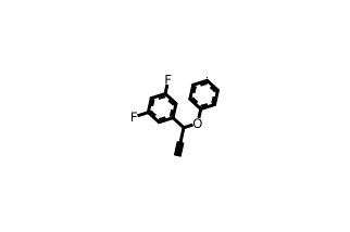 C#CC(Oc1cc[c]cc1)c1cc(F)cc(F)c1